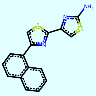 Nc1nc(-c2nc(-c3cccc4ccccc34)cs2)cs1